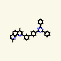 Cc1ccc2ccc3c(C)cc(-c4cccc(-c5ccc(-c6nc(-c7ccccc7)nc(-c7ccccc7)n6)cc5)c4)nc3c2n1